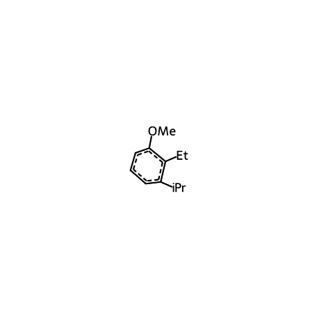 [CH2]C(C)c1cccc(OC)c1CC